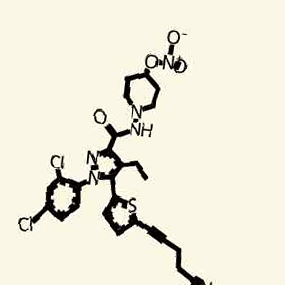 CCc1c(C(=O)NN2CCC(O[N+](=O)[O-])CC2)nn(-c2ccc(Cl)cc2Cl)c1-c1ccc(C#CCCC#N)s1